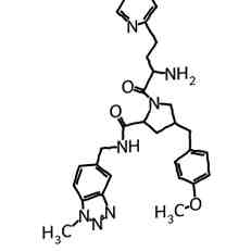 COc1ccc(CC2CC(C(=O)NCc3ccc4c(c3)nnn4C)N(C(=O)C(N)CCc3ccccn3)C2)cc1